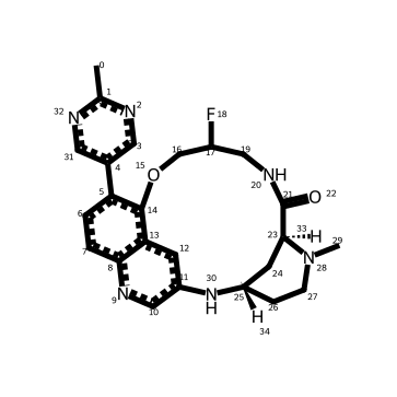 Cc1ncc(-c2ccc3ncc4cc3c2OCC(F)CNC(=O)[C@@H]2C[C@H](CCN2C)N4)cn1